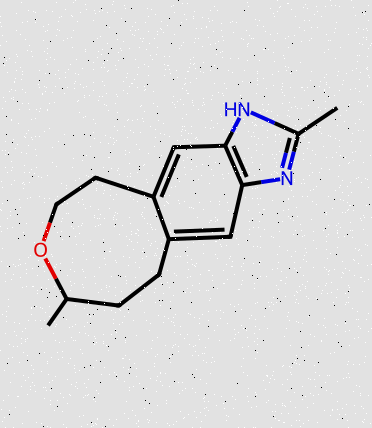 Cc1nc2cc3c(cc2[nH]1)CCOC(C)CC3